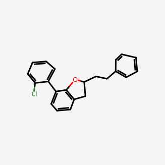 Clc1ccccc1-c1cccc2c1OC(CCc1ccccc1)C2